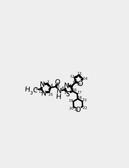 Cc1ncc(C(=O)Nc2nc(-c3ccco3)c(CC3CCOCC3)s2)cn1